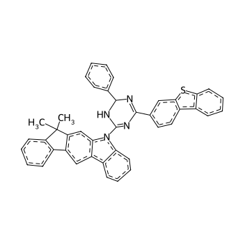 CC1(C)c2ccccc2-c2cc3c4ccccc4n(C4=NC(c5ccc6c(c5)sc5ccccc56)=NC(c5ccccc5)N4)c3cc21